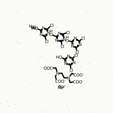 O=C([O-])CN(CCN(CC(=O)[O-])CC(=O)[O-])CC(=O)[O-].Oc1nc(Cl)nc(Cl)n1.Oc1nc(Cl)nc(Cl)n1.Oc1nc(Cl)nc(Cl)n1.Oc1nc(Cl)nc(Cl)n1.[Na+].[Na+].[Na+].[Na+]